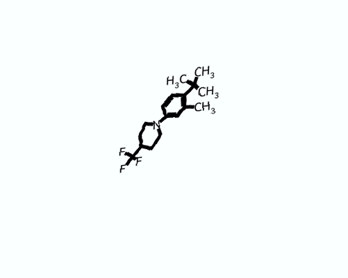 Cc1cc(N2CCC(C(F)(F)F)CC2)ccc1C(C)(C)C